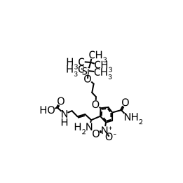 CC(C)(C)[Si](C)(C)OCCCOc1cc(C(N)=O)cc([N+](=O)[O-])c1C(N)C=CCNC(=O)O